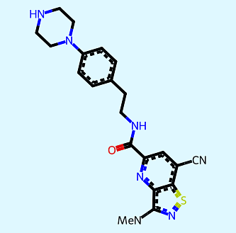 CNc1nsc2c(C#N)cc(C(=O)NCCc3ccc(N4CCNCC4)cc3)nc12